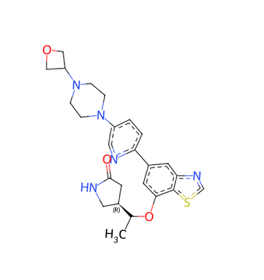 CC(Oc1cc(-c2ccc(N3CCN(C4COC4)CC3)cn2)cc2ncsc12)[C@H]1CNC(=O)C1